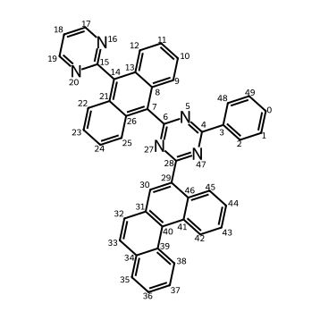 c1ccc(-c2nc(-c3c4ccccc4c(-c4ncccn4)c4ccccc34)nc(-c3cc4ccc5ccccc5c4c4ccccc34)n2)cc1